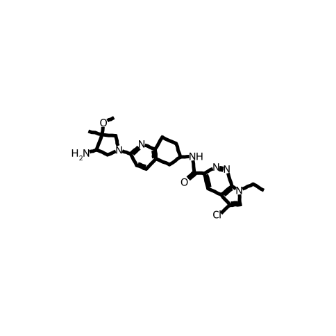 CCn1cc(Cl)c2cc(C(=O)NC3CCc4nc(N5CC(N)C(C)(OC)C5)ccc4C3)nnc21